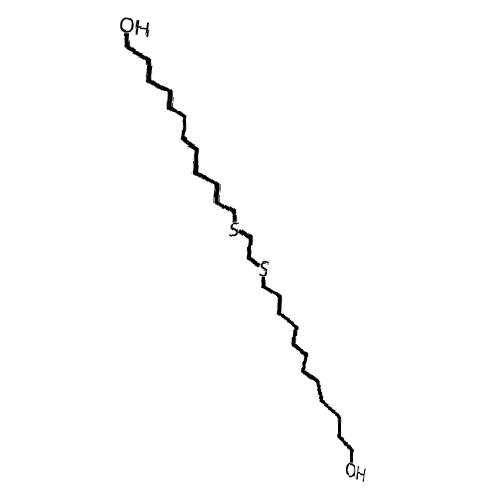 OCCCCCCCCCCCCSCCSCCCCCCCCCCCCO